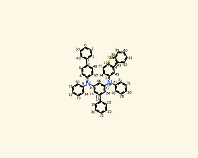 c1ccc(-c2ccc(N(c3ccccc3)c3cc(-c4ccccc4)cc(N(c4ccccc4)c4ccc5sc6ccccc6c5c4)c3)cc2)cc1